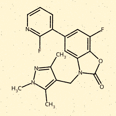 Cc1nn(C)c(C)c1Cn1c(=O)oc2c(F)cc(-c3cccnc3F)cc21